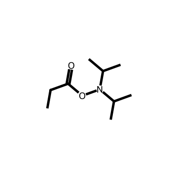 CCC(=O)ON(C(C)C)C(C)C